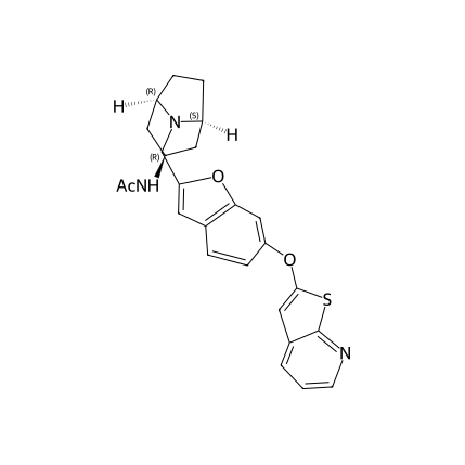 CC(=O)N[C@H]1C[C@H]2CC[C@@H](C1)N2Cc1cc2ccc(Oc3cc4cccnc4s3)cc2o1